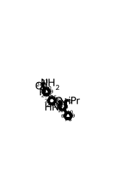 CC(C)Cn1cc(-c2ccccc2)cc(N[C@H]2CC[C@@H](c3ccc(C(N)=O)nc3)CC2)c1=O